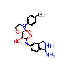 CC(C)(C)c1ccc(N2CCO[C@H]([C@@H](O)C(=O)Nc3ccc4c(c3)CNC4N)C2=O)cc1